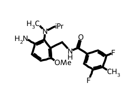 COc1ccc(N)c(N(C)C(C)C)c1CNC(=O)c1cc(F)c(C)c(F)c1